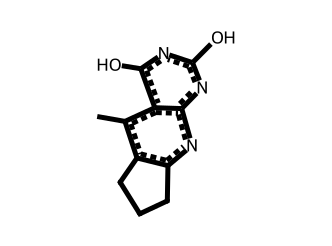 Cc1c2c(nc3nc(O)nc(O)c13)CCC2